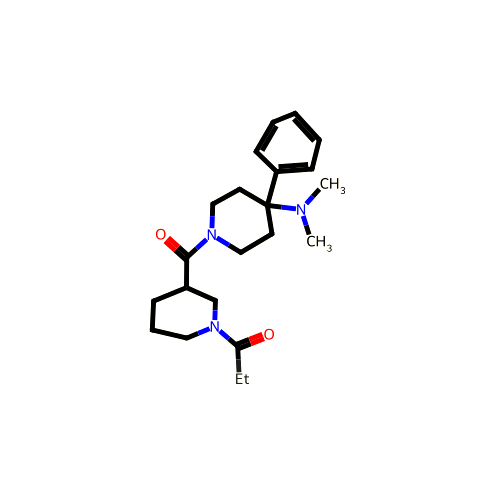 CCC(=O)N1CCCC(C(=O)N2CCC(c3ccccc3)(N(C)C)CC2)C1